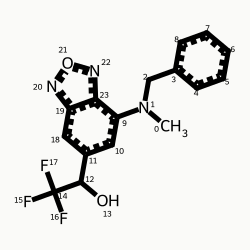 CN(Cc1ccccc1)c1cc(C(O)C(F)(F)F)cc2nonc12